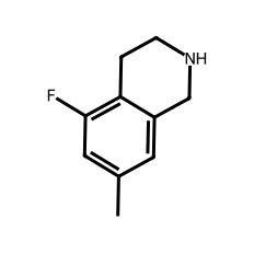 Cc1cc(F)c2c(c1)CNCC2